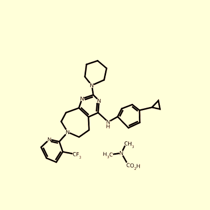 CN(C)C(=O)O.FC(F)(F)c1cccnc1N1CCc2nc(N3CCCCC3)nc(Nc3ccc(C4CC4)cc3)c2CC1